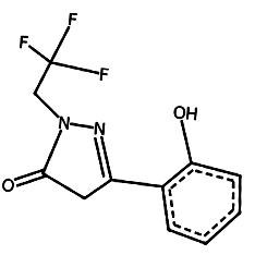 O=C1CC(c2ccccc2O)=NN1CC(F)(F)F